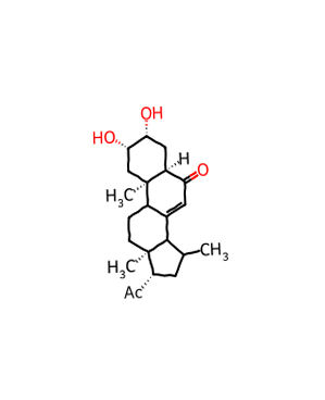 CC(=O)[C@H]1CC(C)C2C3=CC(=O)[C@@H]4C[C@@H](O)[C@@H](O)C[C@]4(C)C3CC[C@@]21C